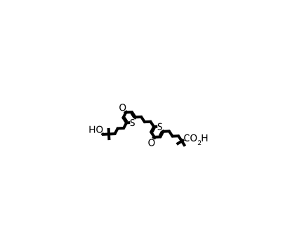 CC(C)(CO)CCCc1cc(=O)cc(CCCc2cc(=O)cc(CCCC(C)(C)C(=O)O)s2)s1